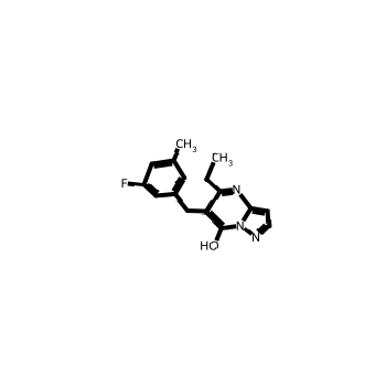 CCc1nc2ccnn2c(O)c1Cc1cc(C)cc(F)c1